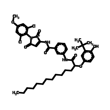 CCCCCCCCCCCCC(Oc1ccc(O)c(C(C)(C)C)c1)C(=O)Nc1cccc(C(=O)NC2=CC(=O)N(c3c(Cl)cc(OC)cc3Cl)[N+]2=O)c1